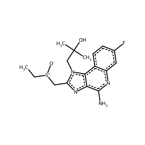 CC[S+]([O-])Cc1nc2c(N)nc3cc(F)ccc3c2n1CC(C)(C)O